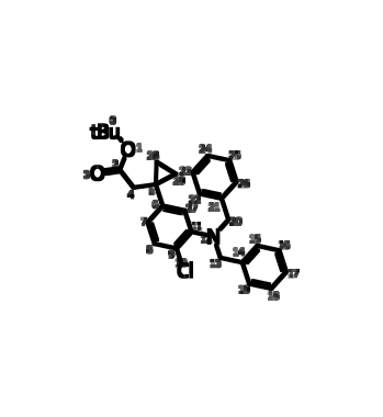 CC(C)(C)OC(=O)CC1(c2ccc(Cl)c(N(Cc3ccccc3)Cc3ccccc3)c2)CC1